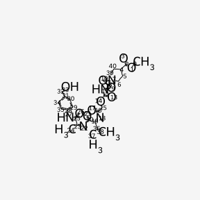 COC(=O)C1CCN(S(=O)(=O)NC(=O)OCC(=O)N=C(C(=O)N=C(C)C(=O)Nc2ccc(CO)cc2)C(C)C)CC1